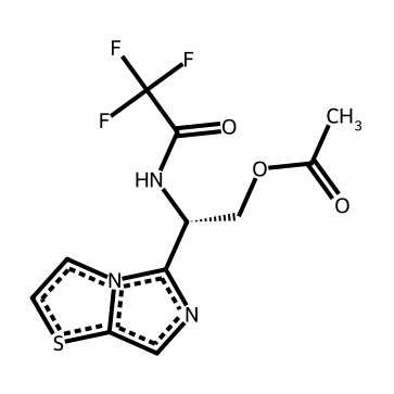 CC(=O)OC[C@@H](NC(=O)C(F)(F)F)c1ncc2sccn12